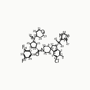 Cc1cc2c(cc1Cl)C1(CCN(C(=O)[C@@H]3C[C@H](N(C)C4CCOCC4)C[C@H]3c3ccc(F)cc3F)CC1)C[C@@H]2C(C)(C)c1ncnn1C